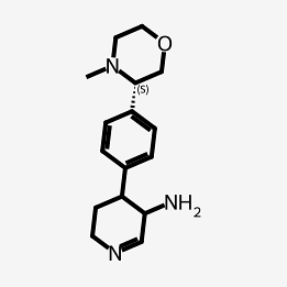 CN1CCOC[C@@H]1c1ccc(C2CCN=CC2N)cc1